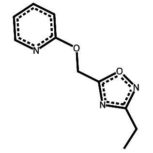 CCc1noc(COc2ccccn2)n1